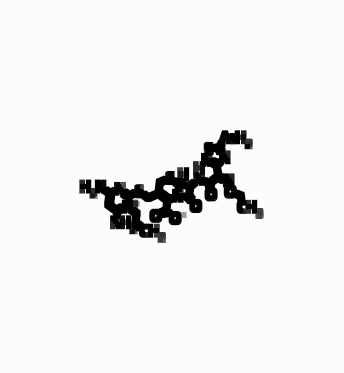 C=CC[n+]1c(N)cc(N)nc1SCC1=C(C(=O)[O-])N2C(=O)C(NC(=O)/C(=N\OCC)c3nsc([AsH2])n3)[C@H]2SC1